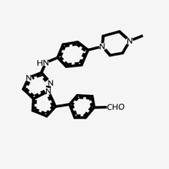 CN1CCN(c2ccc(Nc3ncc4ccc(-c5ccc(C=O)cc5)n4n3)cc2)CC1